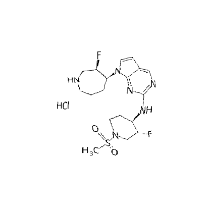 CS(=O)(=O)N1CC[C@@H](Nc2ncc3ccn([C@H]4CCCNC[C@H]4F)c3n2)[C@H](F)C1.Cl